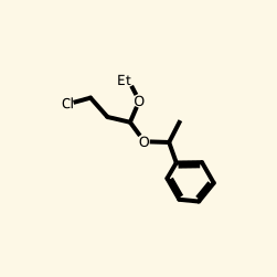 CCOC(CCCl)OC(C)c1ccccc1